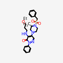 CCOCCCNc1c(N2CCN(S(=O)(=O)Cc3ccccc3)[C@@H](C)C2)cnn(-c2ccccc2)c1=O